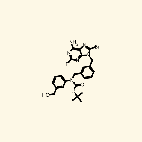 CC(C)(C)OC(=O)N(Cc1cccc(Cn2c(Br)nc3c(N)nc(F)nc32)c1)c1cccc(CO)c1